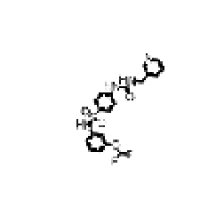 O=C(NCc1cccnc1)Nc1ccc(S(=O)(=O)Nc2cccc(OC(F)F)c2)cc1